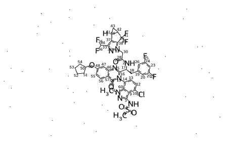 Cn1nc(NS(C)(=O)=O)c2c(Cl)ccc(-n3c([C@H](Cc4cc(F)cc(F)c4)NC(=O)Cn4nc(C(F)F)c5c4C(F)(F)C4C[C@H]54)nc4cc(OC5CCCC5)ccc4c3=O)c21